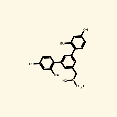 CC(C)(C)c1cc(O)ccc1-c1cc(CN(O)C(=O)O)cc(-c2ccc(O)cc2C(C)(C)C)c1